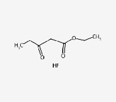 CCOC(=O)CC(=O)CC.F